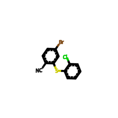 N#Cc1ccc(Br)cc1Sc1ccccc1Cl